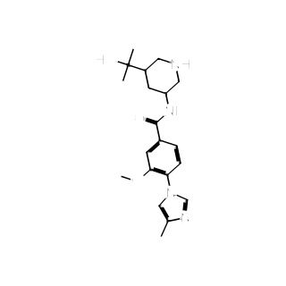 COc1cc(C(=O)NC2CNCC(C(C)(C)O)C2)ccc1-n1cnc(C)c1